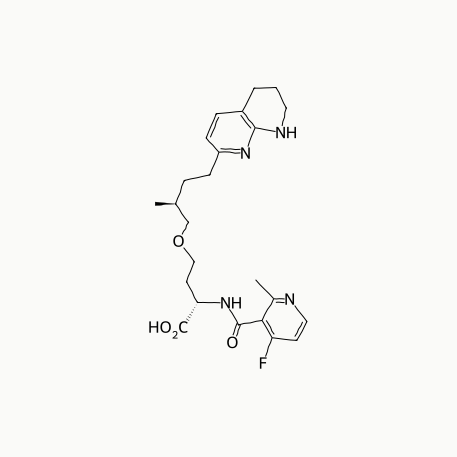 Cc1nccc(F)c1C(=O)N[C@@H](CCOC[C@@H](C)CCc1ccc2c(n1)NCCC2)C(=O)O